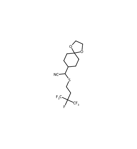 N#CC(SCCC(F)(C(F)(F)F)C(F)(F)F)C1CCC2(CC1)OCCO2